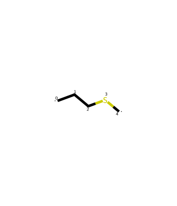 [CH2]CCS[CH2]